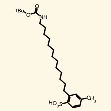 Cc1ccc(S(=O)(=O)O)c(CCCCCCCCCCCCCNC(=O)OC(C)(C)C)c1